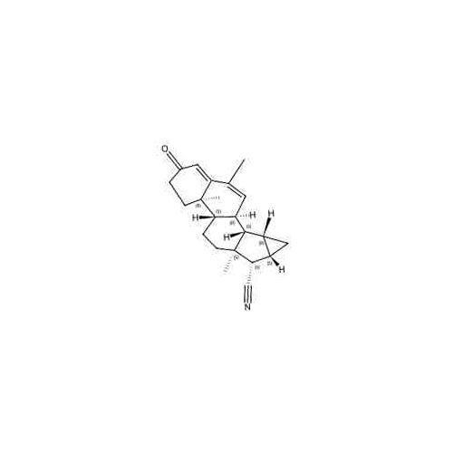 CC1=C[C@H]2[C@@H]3[C@@H]4C[C@@H]4[C@H](C#N)[C@@]3(C)CC[C@@H]2[C@@]2(C)CCC(=O)C=C12